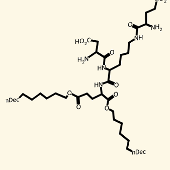 CCCCCCCCCCCCCCCCOC(=O)CCC(NC(=O)C(CCCCNC(=O)C(N)CCC(=O)O)NC(=O)C(N)CC(=O)O)C(=O)OCCCCCCCCCCCCCCCC